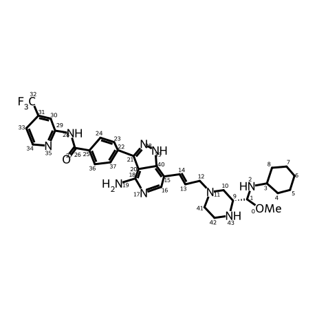 COC(NC1CCCCC1)[C@H]1CN(C/C=C/c2cnc(N)c3c(-c4ccc(C(=O)Nc5cc(C(F)(F)F)ccn5)cc4)n[nH]c23)CCN1